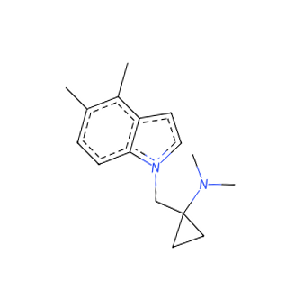 Cc1ccc2c(ccn2CC2(N(C)C)CC2)c1C